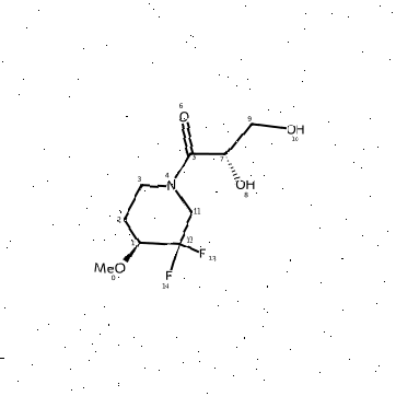 CO[C@H]1CCN(C(=O)[C@@H](O)CO)CC1(F)F